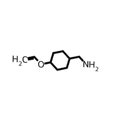 C=COC1CCC(CN)CC1